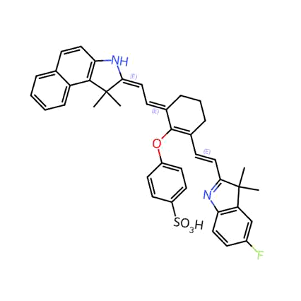 CC1(C)C(/C=C/C2=C(Oc3ccc(S(=O)(=O)O)cc3)C(=C/C=C3/Nc4ccc5ccccc5c4C3(C)C)/CCC2)=Nc2ccc(F)cc21